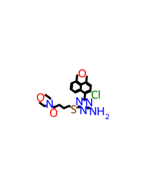 Nc1nc(SCCCC(=O)N2CCOCC2)nc(-c2c(Cl)cc3c4c(cccc24)COC3)n1